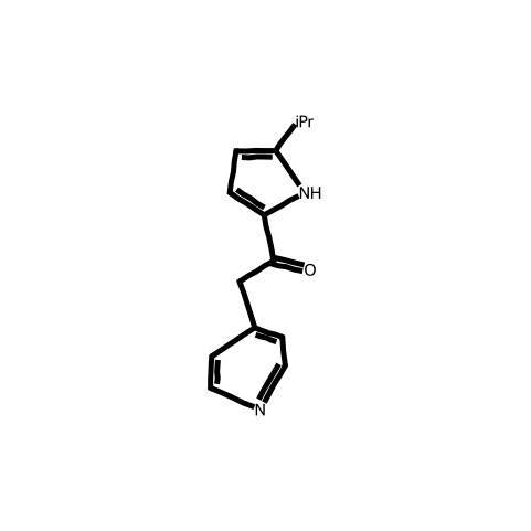 CC(C)c1ccc(C(=O)Cc2ccncc2)[nH]1